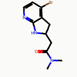 CN(C)C(=O)CC1Cc2c(Br)ccnc2N1